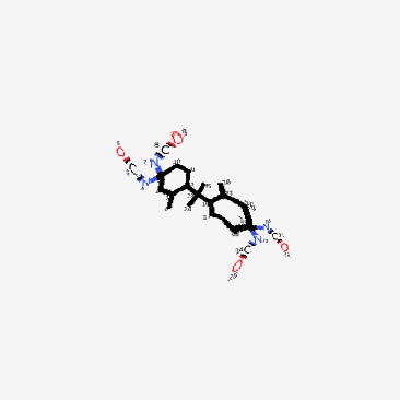 CC1CC(N=C=O)(N=C=O)CCC1C(C)(C)C1CCC(N=C=O)(N=C=O)CC1C